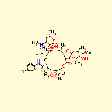 CC[C@H]1OC(=O)[C@H](C)[C@@H](O[C@H]2C[C@@](C)(OC)[C@@H](O)[C@H](C)O2)[C@H](C)[C@@H](OC2O[C@H](C)C[C@H](N(C)C)[C@H]2O)C(C)(O)C[C@@H](C)CN(C(=S)Nc2ccc(Cl)cc2)[C@H](C)[C@@H](O)[C@]1(C)O